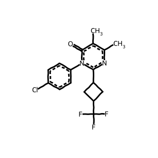 Cc1nc(C2CC(C(F)(F)F)C2)n(-c2ccc(Cl)cc2)c(=O)c1C